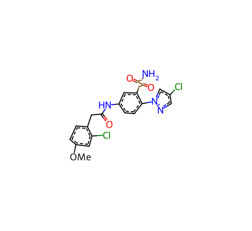 COc1ccc(CC(=O)Nc2ccc(-n3cc(Cl)cn3)c(S(N)(=O)=O)c2)c(Cl)c1